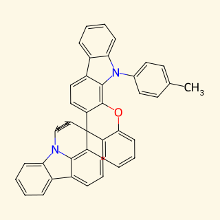 Cc1ccc(-n2c3ccccc3c3ccc4c(c32)Oc2ccccc2C42c3ccccc3-n3c4ccccc4c4cccc2c43)cc1